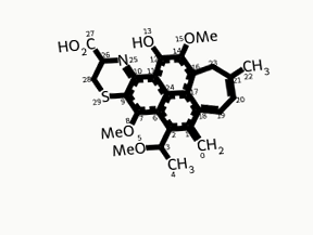 C=c1c(C(C)OC)c2c(OC)c3c(c4c(O)c(OC)c5c(c1=CC=C(C)C5)c24)=NC(C(=O)O)CS3